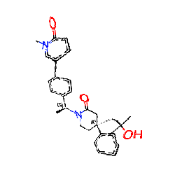 C[C@@H](c1ccc(-c2ccc(=O)n(C)c2)cc1)N1CC[C@](CC(C)(C)O)(c2ccccc2)CC1=O